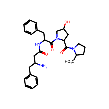 NC(CC(=O)NC(Cc1ccccc1)C(=O)N1CC(O)CC1C(=O)N1CCCC1C(=O)O)Cc1ccccc1